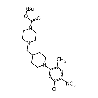 Cc1cc([N+](=O)[O-])c(Cl)cc1N1CCC(CN2CCN(C(=O)OC(C)(C)C)CC2)CC1